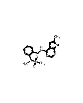 Cc1cc2c(NCc3cccnc3N(C)S(C)(=O)=O)ncnc2[nH]1